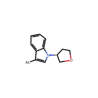 CC(=O)c1cn([C@H]2CCOC2)c2ccccc12